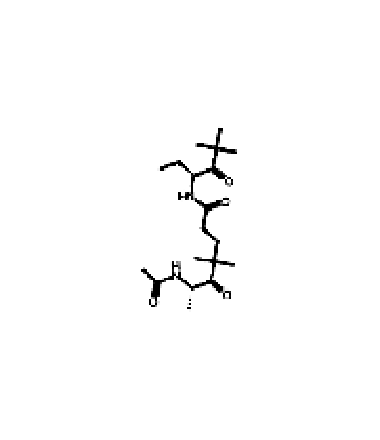 CC[C@H](NC(=O)CCC(C)(C)C(=O)[C@H](C)NC(C)=O)C(=O)C(C)(C)C